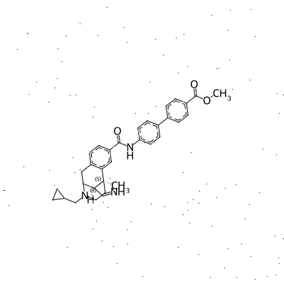 COC(=O)c1ccc(-c2ccc(NC(=O)c3ccc4c(c3)[C@@]3(C)CCN(CC5CC5)C(C4)[C@@H]3C=N)cc2)cc1